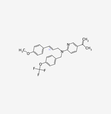 C=C(C)c1ccc(N(C/C=C/c2ccc(OC)cc2)Cc2ccc(OC(F)(F)F)cc2)nc1